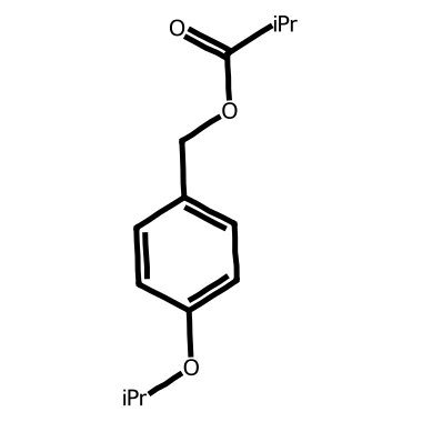 CC(C)Oc1ccc(COC(=O)C(C)C)cc1